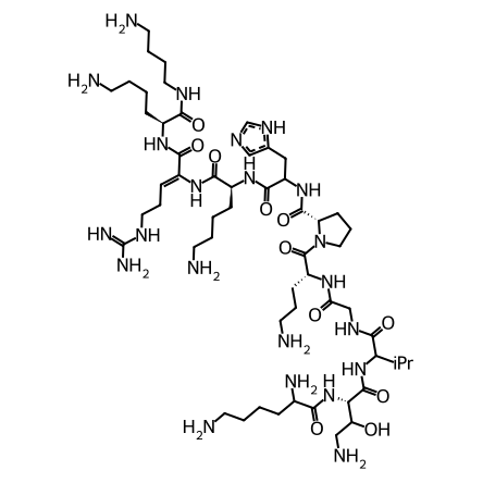 CC(C)C(NC(=O)[C@@H](NC(=O)C(N)CCCCN)C(O)CN)C(=O)NCC(=O)N[C@H](CCCN)C(=O)N1CCC[C@H]1C(=O)NC(Cc1cnc[nH]1)C(=O)N[C@@H](CCCCN)C(=O)N/C(=C\CCNC(=N)N)C(=O)N[C@@H](CCCCN)C(=O)NCCCCN